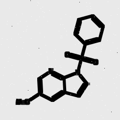 COc1cnc2c(c[c]n2S(=O)(=O)c2ccccc2)c1